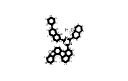 CC12C=CC=CC1C=CC(c1nc(-c3ccc4ccc(-c5ccccc5)cc4c3)nc(-c3ccc4cccc5c4c3-c3ccc4oc6ccccc6c4c3-5)n1)=C2